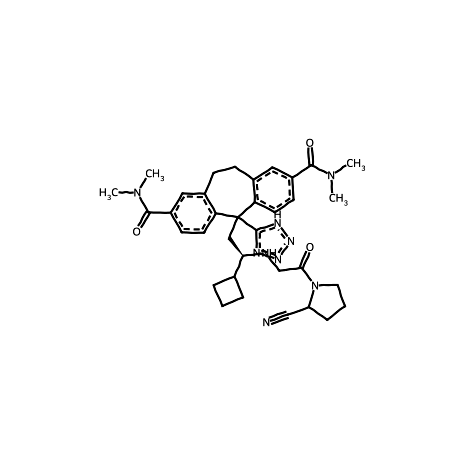 CN(C)C(=O)c1ccc2c(c1)CCc1cc(C(=O)N(C)C)ccc1C2(C[C@@H](NCC(=O)N1CCCC1C#N)C1CCC1)c1nnn[nH]1